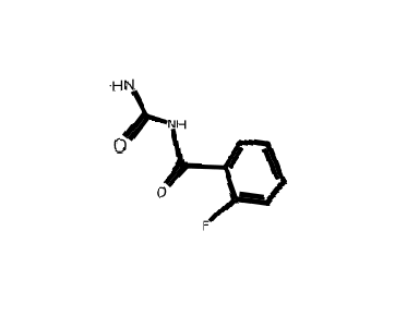 [NH]C(=O)NC(=O)c1ccccc1F